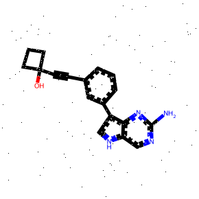 Nc1ncc2[nH]cc(-c3cccc(C#CC4(O)CCC4)c3)c2n1